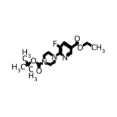 CCOC(=O)c1cnc(N2CCN(C(=O)OC(C)(C)C)CC2)c(F)c1